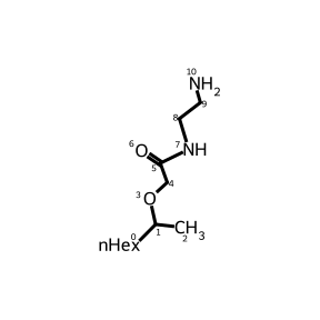 CCCCCCC(C)OCC(=O)NCCN